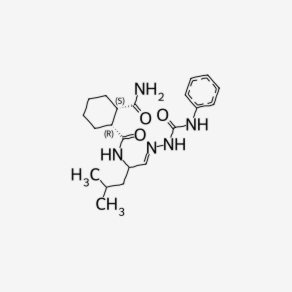 CC(C)CC(C=NNC(=O)Nc1ccccc1)NC(=O)[C@@H]1CCCC[C@@H]1C(N)=O